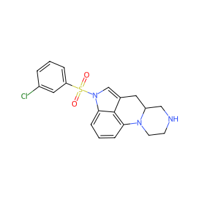 O=S(=O)(c1cccc(Cl)c1)n1cc2c3c(cccc31)N1CCNCC1C2